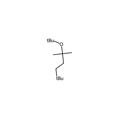 CC(C)(C)CCC(C)(C)OC(C)(C)C